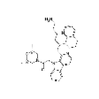 C[C@@H]1CN(C(=O)Cn2c3ccccc3c3ccnc(CN(CCCCN)C4CCCc5cccnc54)c32)C[C@H](C)O1